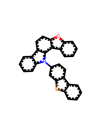 c1ccc2c(c1)oc1ccc3c4ccccc4n(-c4ccc5c(c4)sc4ccccc45)c3c12